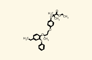 CCOC(=O)C(C)(C)Oc1ccc(OCC[C@H](C)Oc2ccc(CC)cc2Sc2ccccc2)cc1